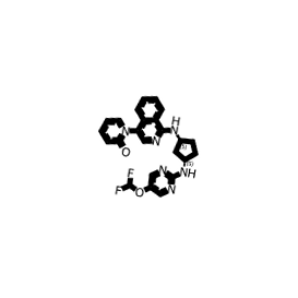 O=c1ccccn1-c1cnc(N[C@H]2CC[C@H](Nc3ncc(OC(F)F)cn3)C2)c2ccccc12